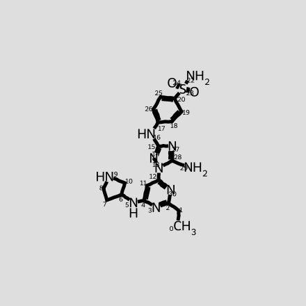 CCc1nc(NC2CCNC2)cc(-n2nc(Nc3ccc(S(N)(=O)=O)cc3)nc2N)n1